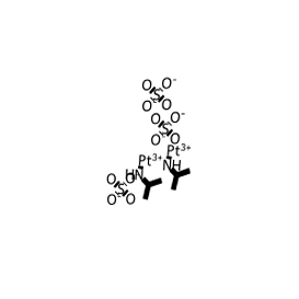 CC(C)[NH][Pt+3].CC(C)[NH][Pt+3].O=S(=O)([O-])[O-].O=S(=O)([O-])[O-].O=S(=O)([O-])[O-]